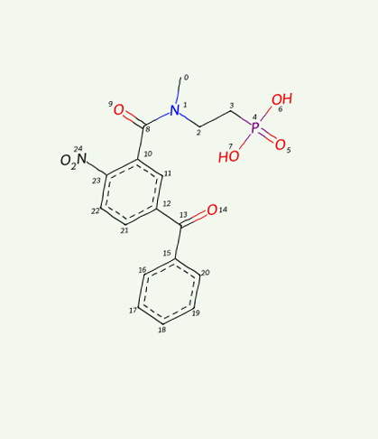 CN(CCP(=O)(O)O)C(=O)c1cc(C(=O)c2ccccc2)ccc1[N+](=O)[O-]